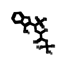 CCC(CN(c1sc2ccccc2c1C)S(=O)(=O)CC)C(=N)OC(C)(C)CC